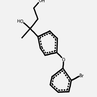 CC(O)(CCO)c1ccc(Oc2ccccc2Br)cc1